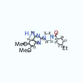 CCc1ccc(C(=O)N2CCN(c3nc(N)c4cc(OC)c(OC)cc4n3)CC2)cc1